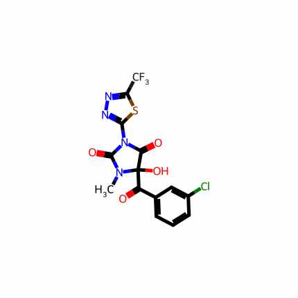 CN1C(=O)N(c2nnc(C(F)(F)F)s2)C(=O)C1(O)C(=O)c1cccc(Cl)c1